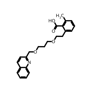 Cc1cccc(CCOCCCOCc2ccc3ccccc3n2)c1C(=O)O